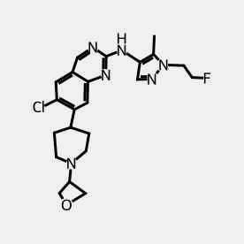 Cc1c(Nc2ncc3cc(Cl)c(C4CCN(C5COC5)CC4)cc3n2)cnn1CCF